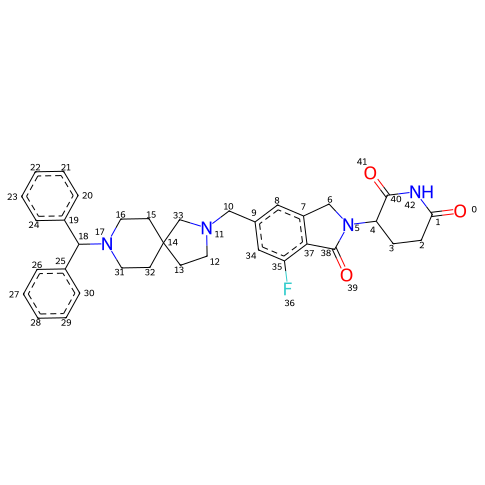 O=C1CCC(N2Cc3cc(CN4CCC5(CCN(C(c6ccccc6)c6ccccc6)CC5)C4)cc(F)c3C2=O)C(=O)N1